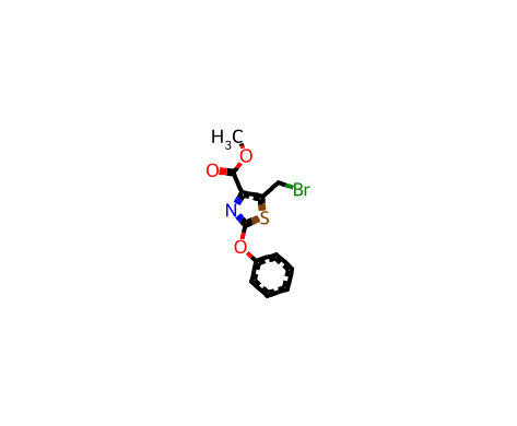 COC(=O)c1nc(Oc2ccccc2)sc1CBr